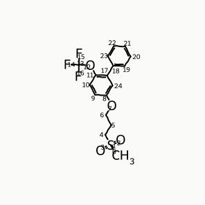 CS(=O)(=O)CCCOc1ccc(OC(F)(F)F)c(-c2ccccc2)c1